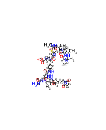 CC[C@H](C)[C@H](NC(=O)[C@H]1CCCCN1C)C(=O)N(C)[C@H](C[C@@H](OC(=O)NC)c1nc(C(=O)N[C@@H](Cc2ccc(NC(=O)[C@H](CCCNC(N)=O)NC(=O)[C@@H](NC(=O)CCCCCN3C(=O)C=CC3=O)C(C)C)cc2)C[C@H](C)C(=O)O)cs1)C(C)C